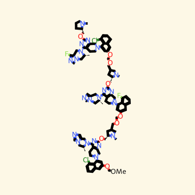 COCOc1cc(N2CCc3c(nc(OC[C@@H]4CC(COCOc5cc(N6CCc7c(nc(OC[C@@H]8CC(COCOc9cc(N%10CCc%11c(nc(OC[C@@H]%12CCCN%12C)nc%11N%11Cc%12c(F)ncn%12C[C@H]%11C)C%10)c%10c(Cl)cccc%10c9)CN8C)nc7N7Cc8cncn8C[C@H]7C)C6)c6c(F)cccc6c5)CN4C)nc3N3Cc4cncn4C[C@H]3C)C2)c2c(Cl)cccc2c1